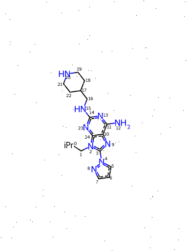 CC(C)Cn1c(-n2cccn2)nc2c(N)nc(NCC3CCNCC3)nc21